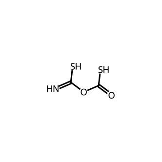 N=C(S)OC(=O)S